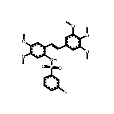 COc1cc(C=Cc2cc(OC)c(OC)c(OC)c2)c(NS(=O)(=O)c2cccc(F)c2)cc1OC